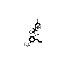 C=CCc1cc(C(F)(F)F)ccc1NC(=O)C(C)(C)n1cc(I)cn1